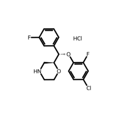 Cl.Fc1cccc([C@H](Oc2ccc(Cl)cc2F)[C@@H]2CNCCO2)c1